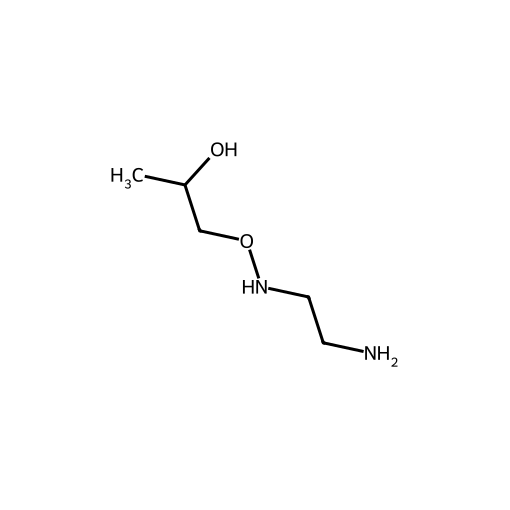 CC(O)CONCCN